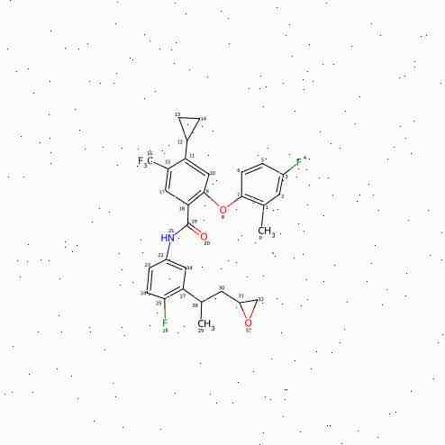 Cc1cc(F)ccc1Oc1cc(C2CC2)c(C(F)(F)F)cc1C(=O)Nc1ccc(F)c(C(C)CC2CO2)c1